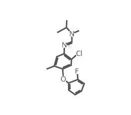 Cc1cc(/N=C/N(C)C(C)C)c(Cl)cc1Oc1ccccc1F